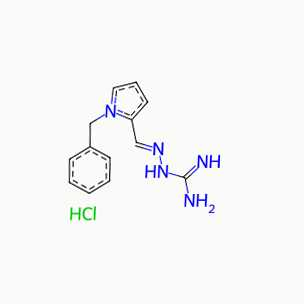 Cl.N=C(N)N/N=C/c1cccn1Cc1ccccc1